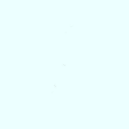 CC(C)(C)OC(=O)N1CCC(n2ccc3c(C4CCC(=O)NC4=O)cccc32)CC1